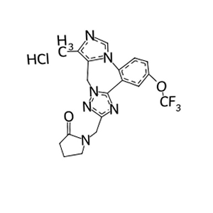 Cc1ncn2c1Cn1nc(CN3CCCC3=O)nc1-c1cc(OC(F)(F)F)ccc1-2.Cl